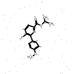 COc1ccc(-c2nc(C(=O)OC(C)C)ccc2F)cc1